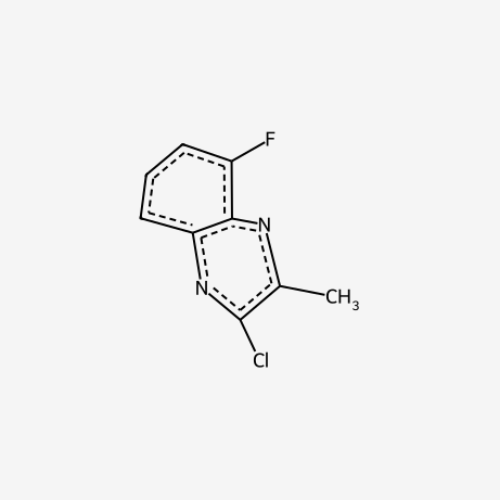 Cc1nc2c(F)cccc2nc1Cl